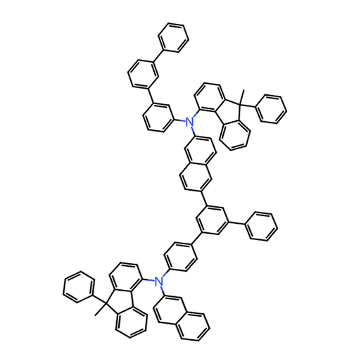 CC1(c2ccccc2)c2ccccc2-c2c(N(c3ccc(-c4cc(-c5ccccc5)cc(-c5ccc6cc(N(c7cccc(-c8cccc(-c9ccccc9)c8)c7)c7cccc8c7-c7ccccc7C8(C)c7ccccc7)ccc6c5)c4)cc3)c3ccc4ccccc4c3)cccc21